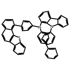 c1ccc(-c2ccc(N(c3ccc(-c4cccc5ccc6c7ccccc7sc6c45)cc3)c3cccc4c5ccccc5n(-c5ccccc5)c34)cc2)cc1